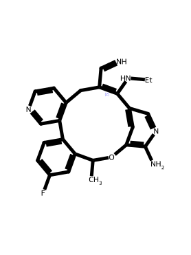 CCN/C1=C(\C=N)Cc2ccncc2-c2ccc(F)cc2C(C)Oc2cc1cnc2N